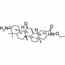 CCONC(=O)[C@@]1(C)CC[C@]2(C)CC[C@]3(C)C(=CC(=O)[C@@H]4[C@@]5(C)CC[C@H](N)C(C)(C)C5CC[C@]43C)[C@@H]2C1